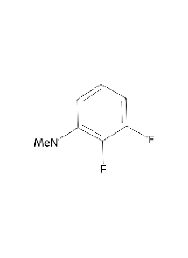 CNc1cccc(F)c1F